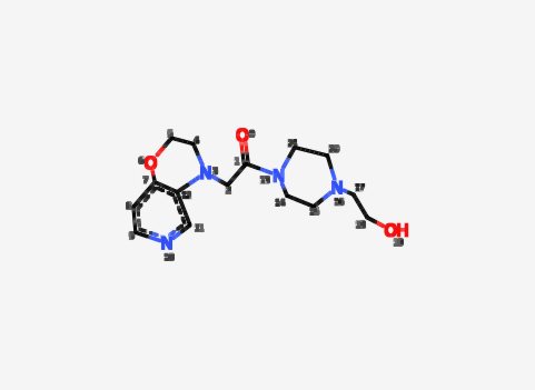 O=C(CN1CCOc2ccncc21)N1CCN(CCO)CC1